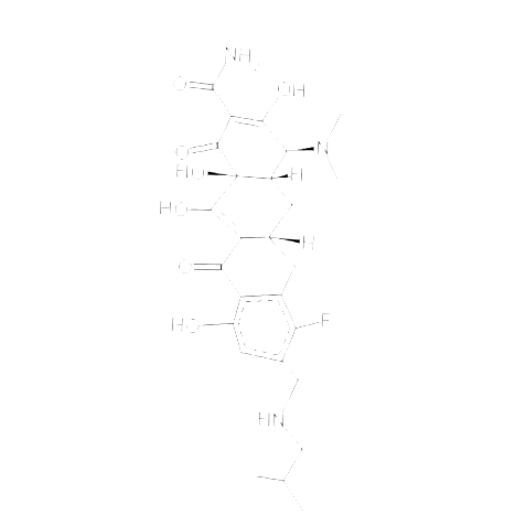 CC(C)CNCc1cc(O)c2c(c1F)C[C@H]1C[C@H]3[C@H](N(C)C)C(O)=C(C(N)=O)C(=O)[C@@]3(O)C(O)=C1C2=O